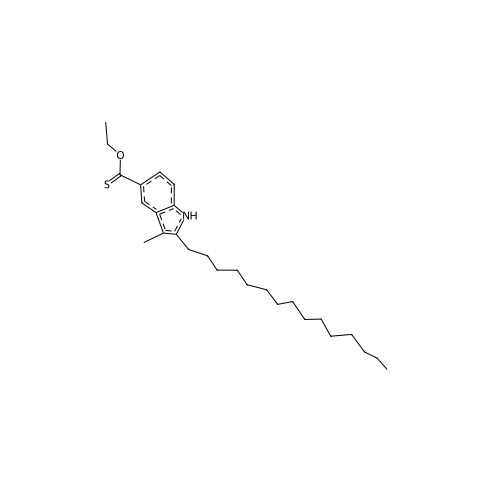 CCCCCCCCCCCCCCCc1[nH]c2ccc(C(=S)OCC)cc2c1C